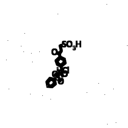 Cl.O=C(CCS(=O)(=O)O)c1ccc(C2ON2S(=O)(=O)c2ccccc2)cc1